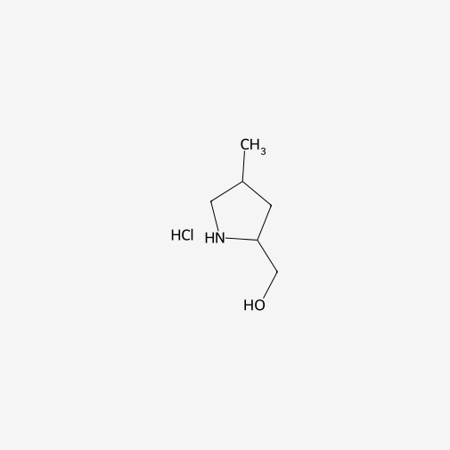 CC1CNC(CO)C1.Cl